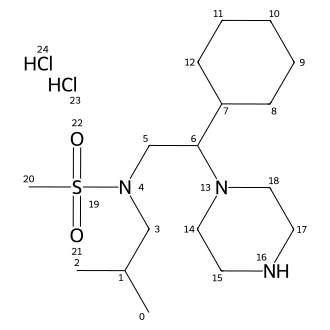 CC(C)CN(CC(C1CCCCC1)N1CCNCC1)S(C)(=O)=O.Cl.Cl